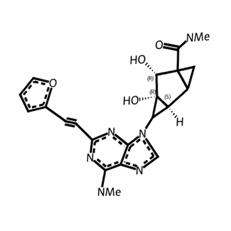 CNC(=O)C12CC1[C@H]1C(n3cnc4c(NC)nc(C#Cc5ccco5)nc43)[C@@]1(O)[C@@H]2O